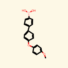 COc1ccc(Oc2ccc(-c3ccc(B(O)O)cc3)cc2)cc1